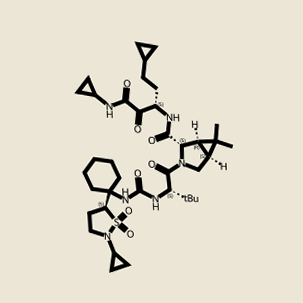 CC(C)(C)[C@H](NC(=O)NC1([C@@H]2CCN(C3CC3)S2(=O)=O)CCCCC1)C(=O)N1C[C@H]2[C@@H]([C@H]1C(=O)N[C@@H](CCC1CC1)C(=O)C(=O)NC1CC1)C2(C)C